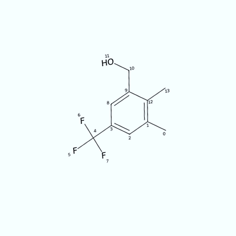 Cc1cc(C(F)(F)F)cc(CO)c1C